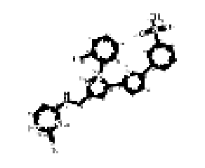 CS(=O)(=O)c1cccc(-c2ccc(-c3cc(CNc4cc[nH]c(=S)n4)nn3-c3ccccc3Cl)s2)c1